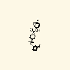 CC(C)(Sc1cccc(F)c1)C1CCN(C(=O)Nc2ccc(F)nc2)CC1